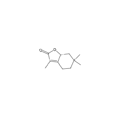 CC1=C2CCC(C)(C)CC2OC1=O